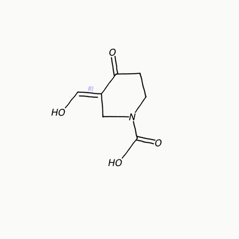 O=C1CCN(C(=O)O)C/C1=C\O